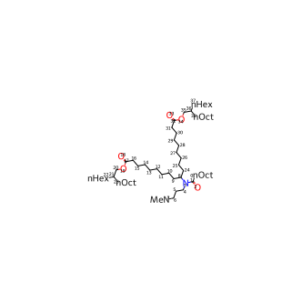 CCCCCCCCC(=O)N(CCCNC)C(CCCCCCCCC(=O)OCC(CCCCCC)CCCCCCCC)CCCCCCCCC(=O)OCC(CCCCCC)CCCCCCCC